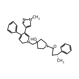 C[C@H](CC(=O)N1CCC(O)(CN2C=C(c3cnn(C)c3)C(c3ccccc3)=CC2)CC1)c1ccccc1